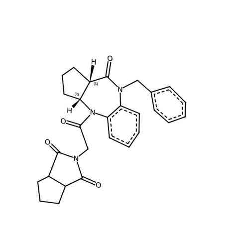 O=C1C2CCCC2C(=O)N1CC(=O)N1c2ccccc2N(Cc2ccccc2)C(=O)[C@H]2CCC[C@H]21